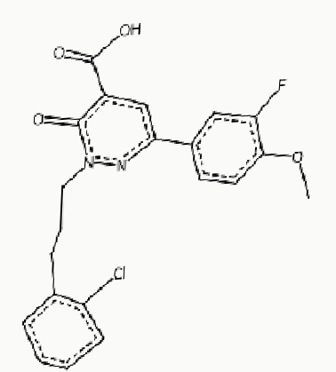 COc1ccc(-c2cc(C(=O)O)c(=O)n(CCCc3ccccc3Cl)n2)cc1F